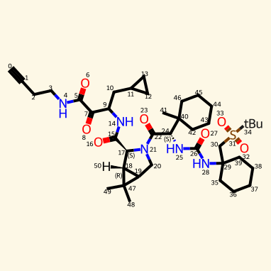 C#CCCNC(=O)C(=O)C(CC1CC1)NC(=O)[C@@H]1[C@@H]2C(CN1C(=O)[C@@H](NC(=O)NC1(CS(=O)(=O)C(C)(C)C)CCCCC1)C1(C)CCCCC1)C2(C)C